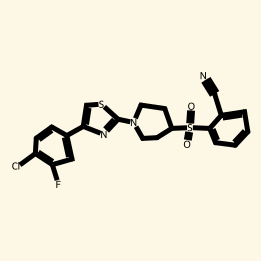 N#Cc1ccccc1S(=O)(=O)C1CCN(c2nc(-c3ccc(Cl)c(F)c3)cs2)CC1